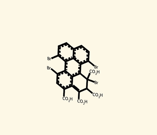 O=C(O)C1=c2c(C(=O)O)cc(Br)c3c2c(c2c(Br)ccc4ccc(Br)c3c42)C(Br)(C(=O)O)C1C(=O)O